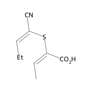 CC=C(SC(C#N)=CCC)C(=O)O